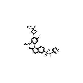 COc1cc(C2CC(F)(C(F)(F)F)C2)c(F)cc1-n1c(=O)ccc2cc(S(=O)(=O)Nc3ccon3)ccc21